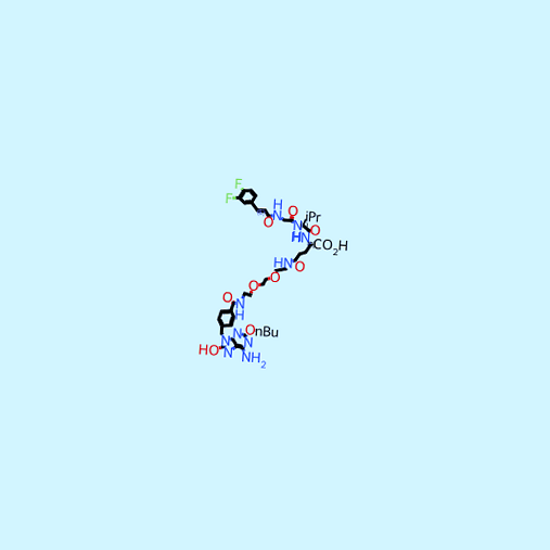 CCCCOc1nc(N)c2nc(O)n(Cc3ccc(C(=O)NCCOCCOCCNC(=O)CC[C@@H](NC(=O)[C@@H](NC(=O)CNC(=O)/C=C/c4ccc(F)c(F)c4)C(C)C)C(=O)O)cc3)c2n1